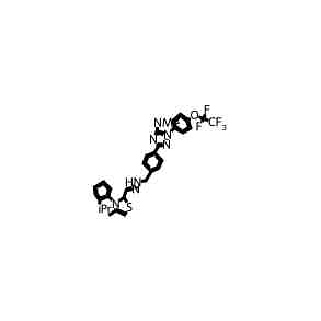 CNc1nc(-c2ccc(CNN=CC3SC=C(C)N3c3ccccc3C(C)C)cc2)nn1-c1ccc(OC(F)(F)C(F)(F)F)cc1